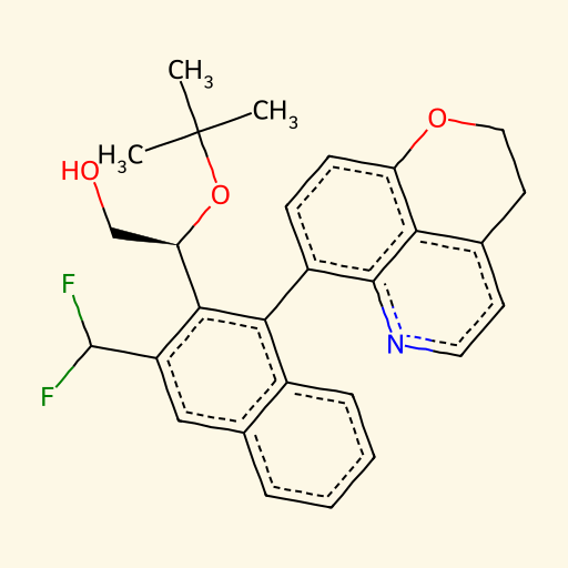 CC(C)(C)O[C@H](CO)c1c(C(F)F)cc2ccccc2c1-c1ccc2c3c(ccnc13)CCO2